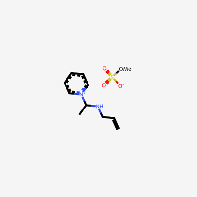 C=CCNC(C)[n+]1ccccc1.COS(=O)(=O)[O-]